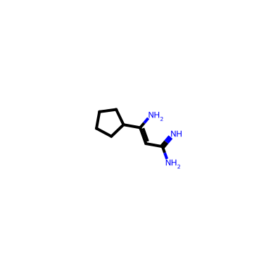 N=C(N)/C=C(\N)C1CCCC1